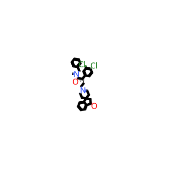 CN(Cc1ccccc1)C(=O)[C@@H](CCN1CCC2(CC1)CC(=O)c1ccccc12)c1ccc(Cl)c(Cl)c1